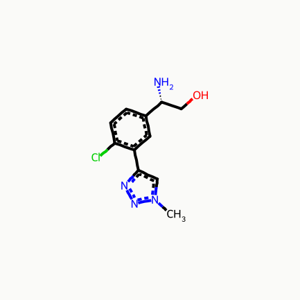 Cn1cc(-c2cc([C@H](N)CO)ccc2Cl)nn1